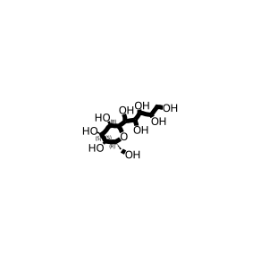 OCC(O)C(O)C(O)C(O)C1O[C@H](CO)[C@@H](O)[C@H](O)[C@H]1O